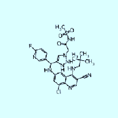 CC(C)(C)CNc1c(C#N)cnc2c(Cl)cc(NC(C3=CN(CC(=O)NS(C)(=O)=O)NN3)c3ccc(F)nc3)cc12